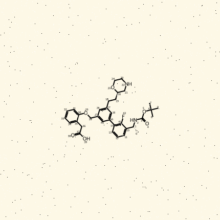 C[C@@H](NC(=O)OC(C)(C)C)c1cccc(-c2cc(CC[C@@H]3CNCCO3)cc(COc3ccccc3CC(=O)O)c2)c1F